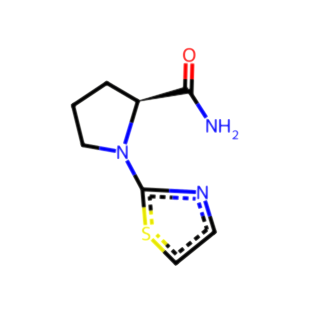 NC(=O)[C@@H]1CCCN1c1nccs1